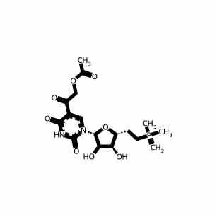 C=P(C)(C)CC[C@H]1O[C@@H](n2cc(C(=O)COC(C)=O)c(=O)[nH]c2=O)C(O)[C@@H]1O